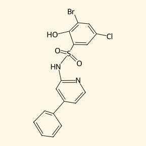 O=S(=O)(Nc1cc(-c2ccccc2)ccn1)c1cc(Cl)cc(Br)c1O